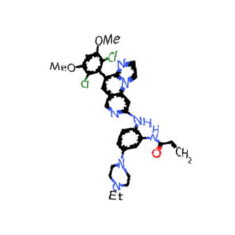 C=CC(=O)Nc1cc(N2CCN(CC)CC2)ccc1Nc1cc2c(cn1)cc(-c1c(Cl)c(OC)cc(OC)c1Cl)c1nccn12